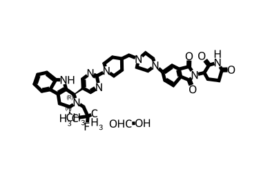 C[C@@H]1Cc2c([nH]c3ccccc23)[C@@H](c2cnc(N3CCC(CN4CCN(c5ccc6c(c5)C(=O)N(C5CCC(=O)NC5=O)C6=O)CC4)CC3)nc2)N1CC(C)(C)F.O=CO